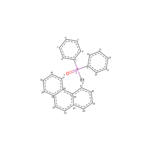 CCP(=O)(c1ccccc1)c1ccccc1.c1ccc2c(c1)ccc1ccccc12